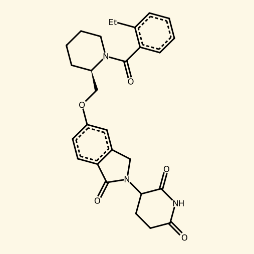 CCc1ccccc1C(=O)N1CCCC[C@@H]1COc1ccc2c(c1)CN(C1CCC(=O)NC1=O)C2=O